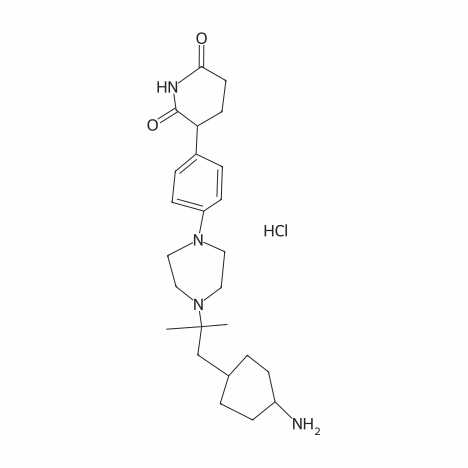 CC(C)(CC1CCC(N)CC1)N1CCN(c2ccc(C3CCC(=O)NC3=O)cc2)CC1.Cl